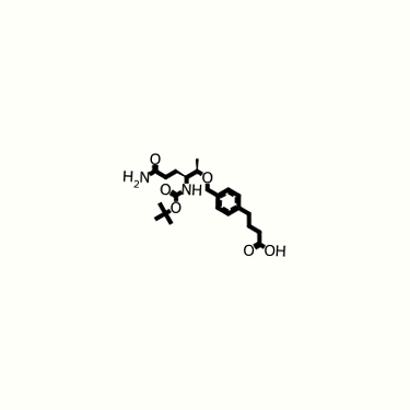 C[C@@H](OCc1ccc(CCCC(=O)O)cc1)[C@H](CCC(N)=O)NC(=O)OC(C)(C)C